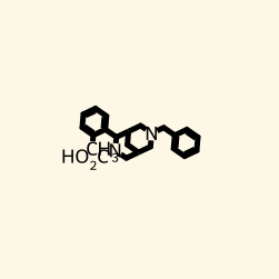 Cc1ccccc1C1C2CC(CN(Cc3ccccc3)C2)CN1C(=O)O